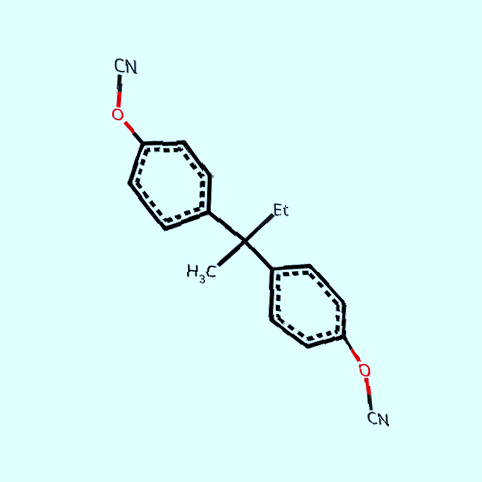 CCC(C)(c1ccc(OC#N)cc1)c1ccc(OC#N)cc1